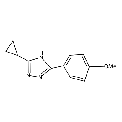 COc1ccc(-c2nnc(C3CC3)[nH]2)cc1